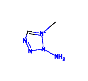 C[n+]1cnnn1N